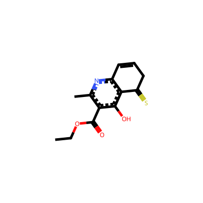 CCOC(=O)c1c(C)nc2c(c1O)C(=S)CC=C2